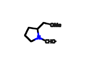 COCC1CCCN1[C]=O